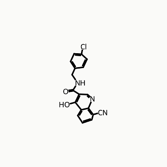 N#Cc1cccc2c(O)c(C(=O)NCc3ccc(Cl)cc3)cnc12